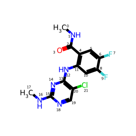 CNC(=O)c1cc(F)c(F)cc1Nc1nc(NC)ncc1Cl